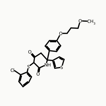 COCCCOc1ccc(C2(c3ccsc3)CC(=O)C(Sc3ccccc3Cl)C(=O)N2)cc1